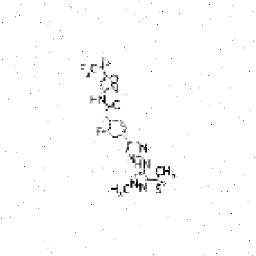 Cn1cc(Nc2ncc(-c3ccc(CC(=O)Nc4cc(C5(C(F)(F)F)CC5)on4)c(F)c3)cn2)c(C2(C)CS2)n1